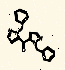 O=C(c1ccnn1Cc1ccccc1)c1ccnn1Cc1ccccc1